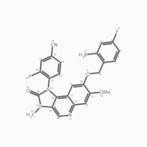 Bc1cc(F)ccc1COc1cc2c(cc1OC)ncc1c2n(-c2ccc(C#N)cc2F)c(=O)n1C